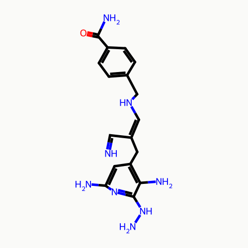 N=C/C(=C\NCc1ccc(C(N)=O)cc1)Cc1cc(N)nc(NN)c1N